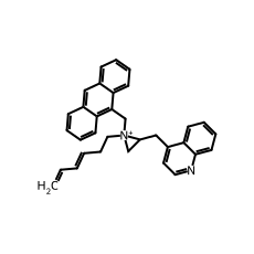 C=C/C=C/CC[N+]1(Cc2c3ccccc3cc3ccccc23)CC1Cc1ccnc2ccccc12